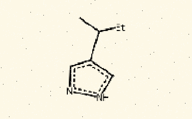 [CH2]CC(C)c1cn[nH]c1